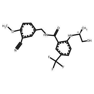 COc1ccc(CNC(=O)c2cc(C(F)(F)F)ccc2N[C@@H](C)CO)cc1C#N